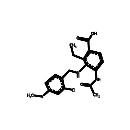 CCc1c(C(=O)O)ccc(NC(C)=O)c1NCc1ccc(SC)cc1Cl